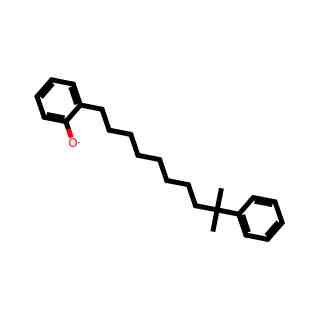 CC(C)(CCCCCCCCc1ccccc1[O])c1ccccc1